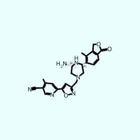 Cc1cc(-c2cc(CN3C[C@@H](c4ccc5c(c4C)COC5=O)N[C@@H](N)C3)no2)ncc1C#N